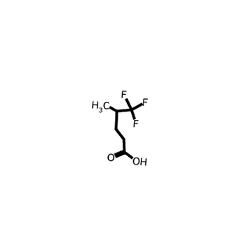 CC(CCC(=O)O)C(F)(F)F